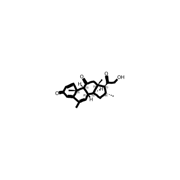 CC1=C[C@H]2[C@@H]3C[C@@H](C)[C@H](C(=O)CO)[C@@]3(C)CC(=O)[C@@H]2[C@@]2(C)C=CC(=O)C=C12